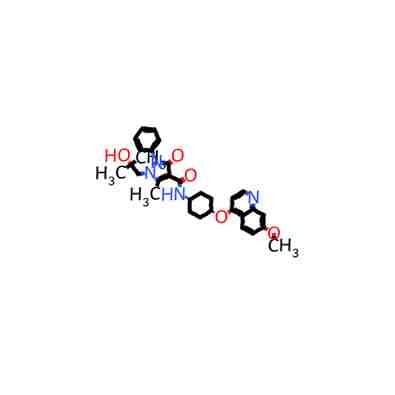 COc1ccc2c(O[C@H]3CC[C@H](NC(=O)c4c(C)n(CC(C)(C)O)n(-c5ccccc5)c4=O)CC3)ccnc2c1